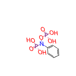 O=P(O)(O)ON(c1ccccc1)P(=O)(O)O